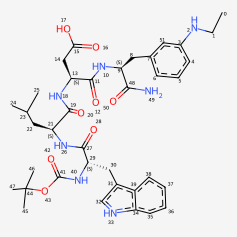 CCNc1cccc(C[C@H](NC(=O)[C@H](CC(=O)O)NC(=O)[C@H](CC(C)C)NC(=O)[C@H](Cc2c[nH]c3ccccc23)NC(=O)OC(C)(C)C)C(N)=O)c1